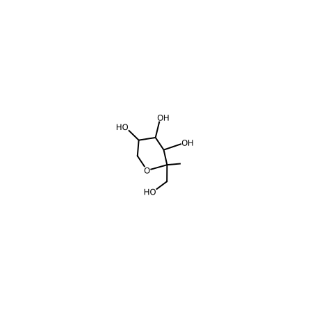 CC1(CO)OCC(O)C(O)C1O